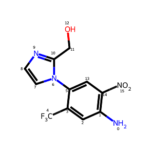 Nc1cc(C(F)(F)F)c(-n2ccnc2CO)cc1[N+](=O)[O-]